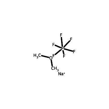 COC.F[P-](F)(F)(F)(F)F.[Na+]